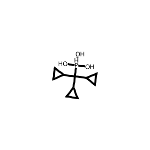 O[PH](O)(O)C(C1CC1)(C1CC1)C1CC1